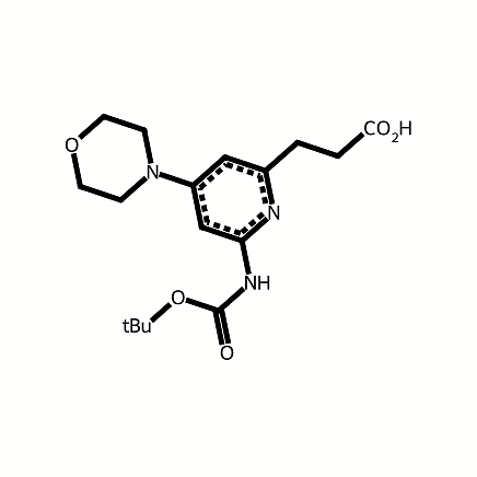 CC(C)(C)OC(=O)Nc1cc(N2CCOCC2)cc(CCC(=O)O)n1